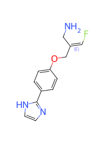 NC/C(=C\F)COc1ccc(-c2ncc[nH]2)cc1